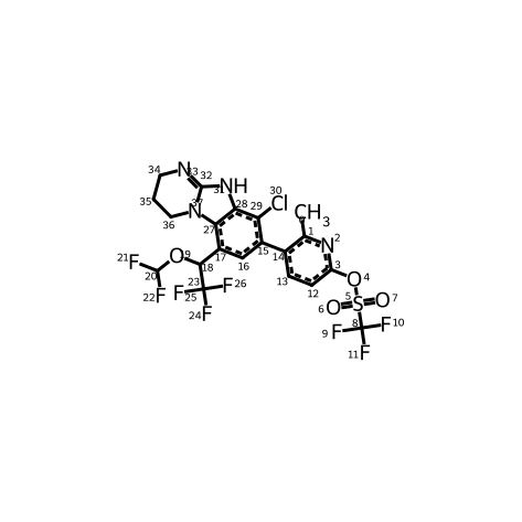 Cc1nc(OS(=O)(=O)C(F)(F)F)ccc1-c1cc(C(OC(F)F)C(F)(F)F)c2c(c1Cl)NC1=NCCCN12